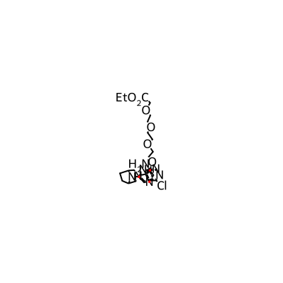 CCOC(=O)COCCOCCOCCOc1cncc(N2C3CCC2CN(c2cc(Cl)nnc2N)C3)n1